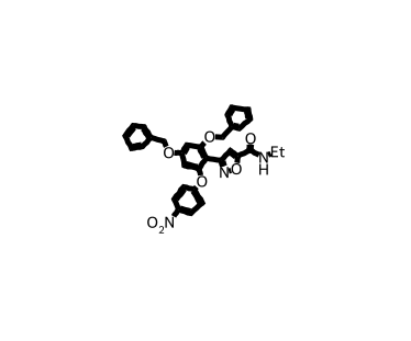 CCNC(=O)c1cc(-c2c(OCc3ccccc3)cc(OCc3ccccc3)cc2Oc2ccc([N+](=O)[O-])cc2)no1